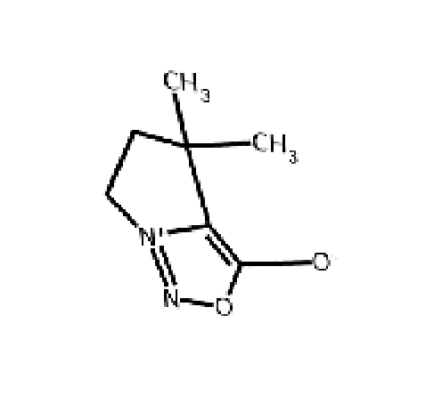 CC1(C)CC[n+]2noc([O-])c21